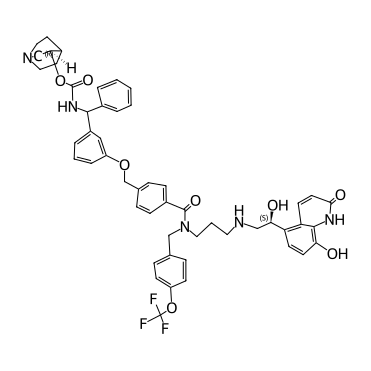 O=C(NC(c1ccccc1)c1cccc(OCc2ccc(C(=O)N(CCCNC[C@@H](O)c3ccc(O)c4[nH]c(=O)ccc34)Cc3ccc(OC(F)(F)F)cc3)cc2)c1)O[C@H]1CN2CCC1CC2